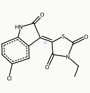 CCN1C(=O)S/C(=C2\C(=O)Nc3ccc(Cl)cc32)C1=O